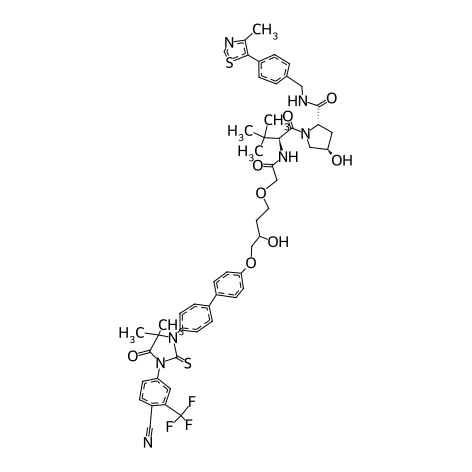 Cc1ncsc1-c1ccc(CNC(=O)[C@@H]2C[C@@H](O)CN2C(=O)[C@@H](NC(=O)COCCC(O)COc2ccc(-c3ccc(N4C(=S)N(c5ccc(C#N)c(C(F)(F)F)c5)C(=O)C4(C)C)cc3)cc2)C(C)(C)C)cc1